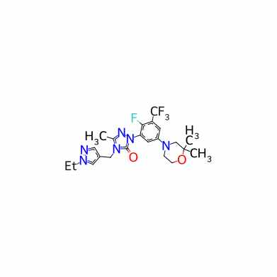 CCn1cc(Cn2c(C)nn(-c3cc(N4CCOC(C)(C)C4)cc(C(F)(F)F)c3F)c2=O)cn1